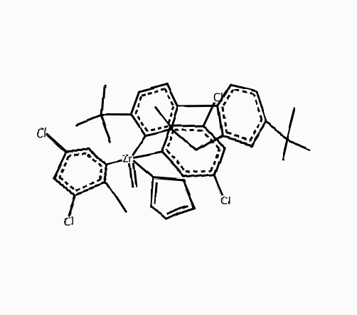 [CH2]=[Zr]([C]1=CC=CC1)([c]1cc(Cl)cc(Cl)c1C)([c]1cc(Cl)cc(Cl)c1C)[c]1c(C(C)(C)C)ccc2c1Cc1cc(C(C)(C)C)ccc1-2